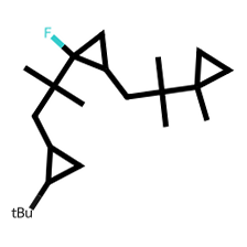 CC(C)(C)C1CC1CC(C)(C)C1(F)CC1CC(C)(C)C1(C)CC1